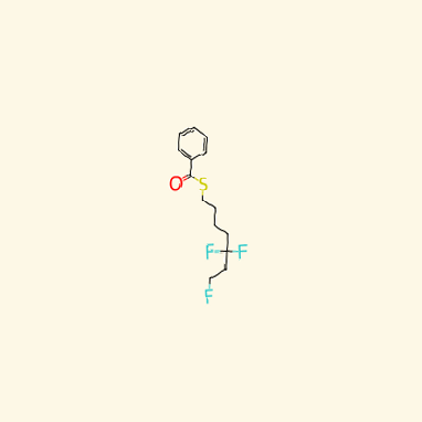 O=C(SCCCCC(F)(F)CCF)c1ccccc1